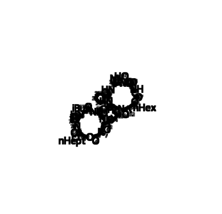 CCCCCCC[C@H]1OC(=O)CN(C)C(=O)[C@H]([C@H](C)OCC(C)C[C@H]2C(=O)N[C@@H](C3CCCCC3)C(=O)N[C@@H](CN)C(=O)N[C@@H]([C@H](C)O)C(=O)NCC(=O)O[C@H](CCCCCC)[C@@H](C)C(=O)N2C)NC(=O)[C@H](CO)NC(=O)[C@H]([C@H](C)CC)NC(=O)[C@H](CC(C)C)N(C)C(=O)[C@@H]1CC